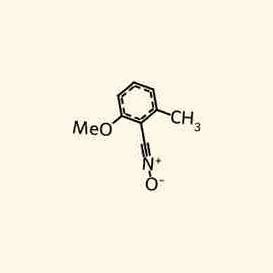 COc1cccc(C)c1C#[N+][O-]